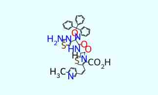 Cc1ccc(/C=C\C2=C(C(=O)O)N3C(=O)[C@@H](NC(=O)/C(=N/OC(c4ccccc4)(c4ccccc4)c4ccccc4)c4csc(N)n4)[C@H]3SC2)cn1